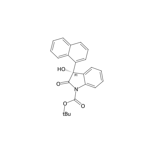 CC(C)(C)OC(=O)N1C(=O)[C@@](O)(c2cccc3ccccc23)c2ccccc21